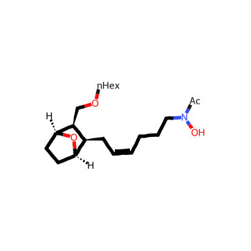 CCCCCCOC[C@H]1[C@@H](C/C=C\CCCN(O)C(C)=O)[C@H]2CC[C@@H]1O2